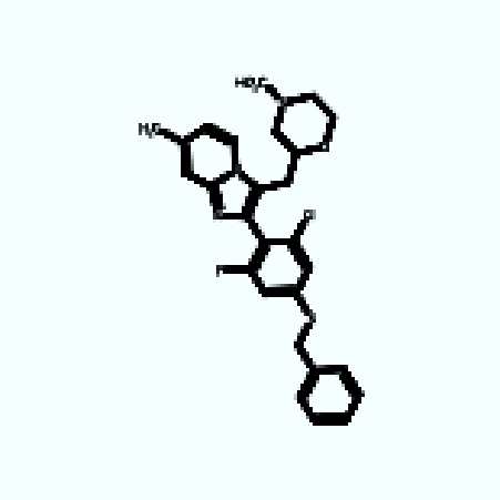 Cc1ccn2c(CC3CN(C(=O)O)CCO3)c(-c3c(F)cc(SCc4ccccc4)cc3Cl)nc2c1